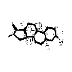 C=C1[C@H](C)C[C@H]2[C@@H]3CC[C@@H]4C[C@](C)(O)CC[C@@H]4[C@H]3CC[C@]12C